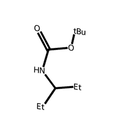 CCC(CC)NC(=O)OC(C)(C)C